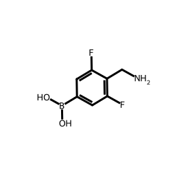 NCc1c(F)cc(B(O)O)cc1F